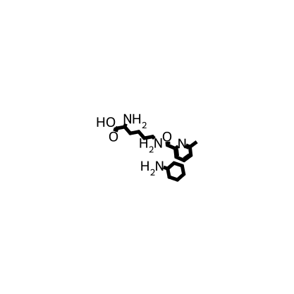 Cc1cccc(C=O)n1.NC1CCCCC1.NCCCCC(N)C(=O)O